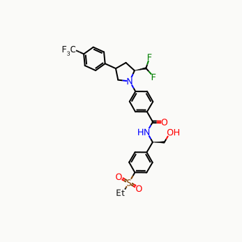 CCS(=O)(=O)c1ccc([C@H](CO)NC(=O)c2ccc(N3CC(c4ccc(C(F)(F)F)cc4)C[C@H]3C(F)F)cc2)cc1